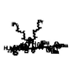 CCOCc1nc2c(N)nc3ccccc3c2n1CCCNC(=O)[C@H](CCC(=O)NCCCN(CCCCN(CCCNC(=O)OC(C)(C)C)C(=O)OC(C)(C)C)C(=O)OC(C)(C)C)NCCCP(=O)(OCCC(C)CCCC(C)CCCC(C)CCCC(C)C)OCCC(C)CCCC(C)CCCC(C)CCCC(C)C